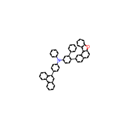 c1ccc(-c2cc(N(c3ccccc3)c3ccc(-c4cc5ccccc5c5ccccc45)cc3)ccc2-c2ccc3ccc4oc5ccccc5c4c3c2)cc1